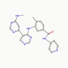 CNc1cc(-c2cncnc2Nc2cc(C(=O)Nc3ccncc3)ccc2C)ncn1